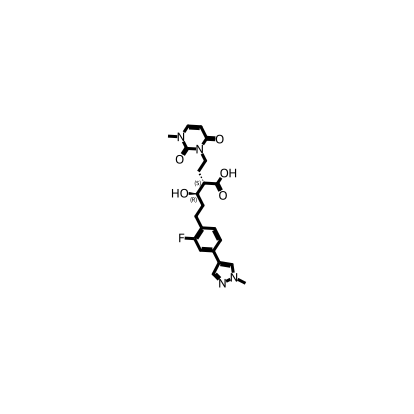 Cn1cc(-c2ccc(CC[C@@H](O)[C@H](CCn3c(=O)ccn(C)c3=O)C(=O)O)c(F)c2)cn1